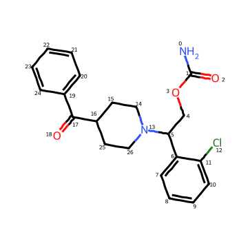 NC(=O)OCC(c1ccccc1Cl)N1CCC(C(=O)c2ccccc2)CC1